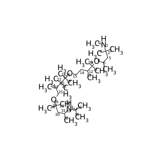 CNC(C)(C)CC(C)OC(C)(C)C(C)CCOC(C)(C)C(C)(C)C(C)COC(C)(C)CC(C)NC(C)C